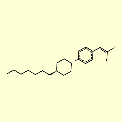 CCCCCCC[C@H]1CC[C@H](c2ccc(C=C(F)F)cc2)CC1